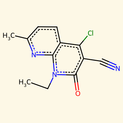 CCn1c(=O)c(C#N)c(Cl)c2ccc(C)nc21